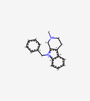 CN1CCc2c(n(Cc3ccccc3)c3ccccc23)C1